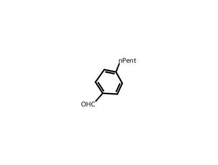 CCCCCc1ccc(C=O)cc1